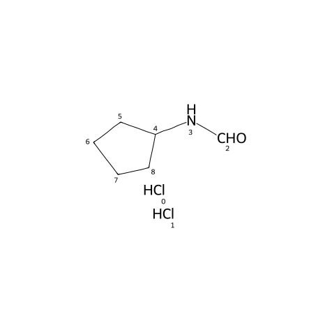 Cl.Cl.O=CNC1CCCC1